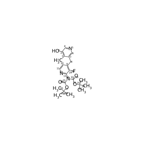 Cc1c(O)cncc1Cc1ccnc(N(C(=O)OC(C)(C)C)C(=O)OC(C)(C)C)c1F